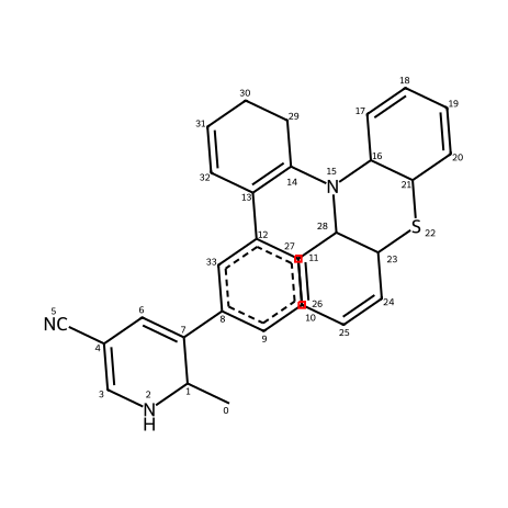 CC1NC=C(C#N)C=C1c1cccc(C2=C(N3C4C=CC=CC4SC4C=CC=CC43)CCC=C2)c1